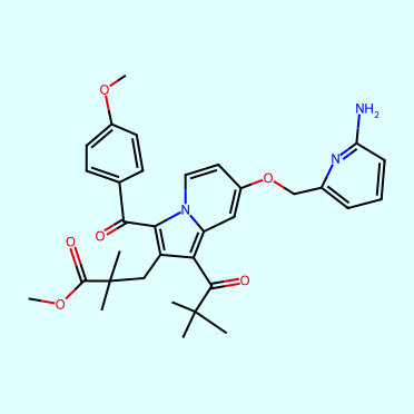 COC(=O)C(C)(C)Cc1c(C(=O)C(C)(C)C)c2cc(OCc3cccc(N)n3)ccn2c1C(=O)c1ccc(OC)cc1